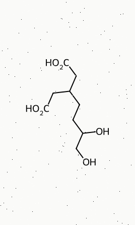 O=C(O)CC(CCC(O)CO)CC(=O)O